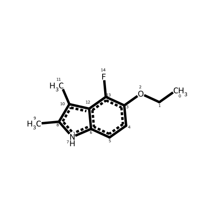 CCOc1ccc2[nH]c(C)c(C)c2c1F